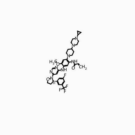 C=CC(=O)Nc1cc(Nc2cc(N3OCC[C@@H]3c3cc(F)cc(C(F)(F)F)c3)ncn2)c(OC)cc1N1CCC(N2CCN(C3CC3)CC2)CC1